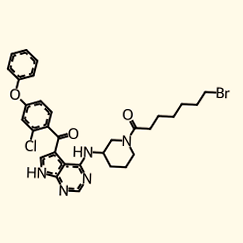 O=C(c1ccc(Oc2ccccc2)cc1Cl)c1c[nH]c2ncnc(NC3CCCN(C(=O)CCCCCCBr)C3)c12